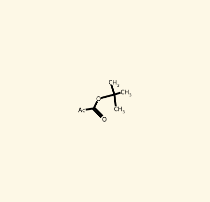 [CH2]C(=O)C(=O)OC(C)(C)C